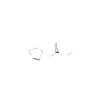 C1CCOC1.CCOC(N)=O